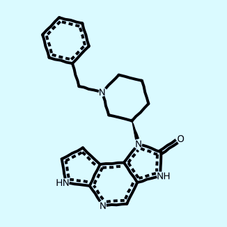 O=c1[nH]c2cnc3[nH]ccc3c2n1[C@@H]1CCCN(Cc2ccccc2)C1